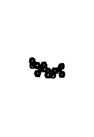 c1ccc(B(c2ccc3c(c2)oc2ccccc23)c2cc3c4cccc5c4c(cc3c3ccccc23)-c2ccc(N(c3ccccc3)c3ccccc3)cc2O5)cc1